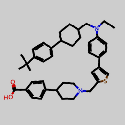 CCN(CC1CCC(c2ccc(C(C)(C)C)cc2)CC1)c1ccc(-c2csc(CN3CCC(c4ccc(C(=O)O)cc4)CC3)c2)cc1